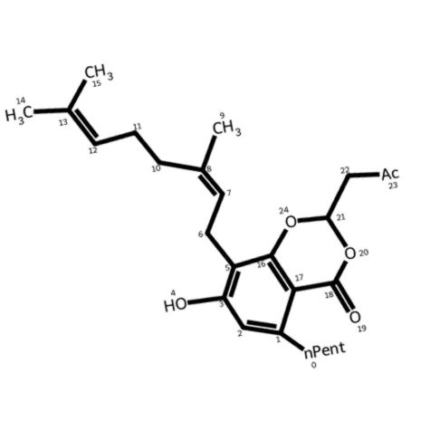 CCCCCc1cc(O)c(CC=C(C)CCC=C(C)C)c2c1C(=O)OC(CC(C)=O)O2